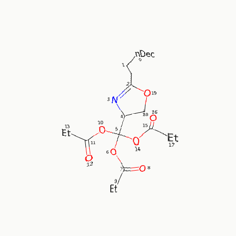 CCCCCCCCCCCC1=NC(C(OC(=O)CC)(OC(=O)CC)OC(=O)CC)CO1